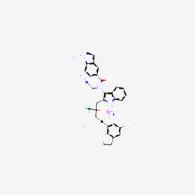 CC(C)(CC(O)(Cc1[nH]c2ccccc2c1N(CC#N)C(=O)c1ccc2[nH]ccc2c1)C(F)(F)F)c1cc(Br)cc2c1OCC2